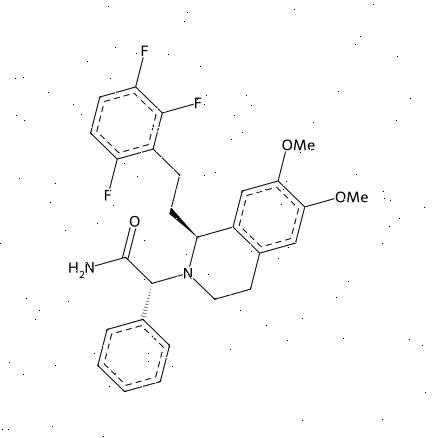 COc1cc2c(cc1OC)[C@H](CCc1c(F)ccc(F)c1F)N([C@@H](C(N)=O)c1ccccc1)CC2